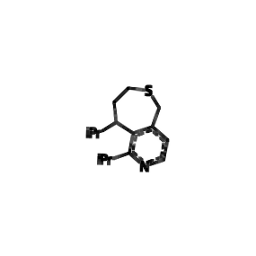 CC(C)c1nccc2c1C(C(C)C)CCSC2